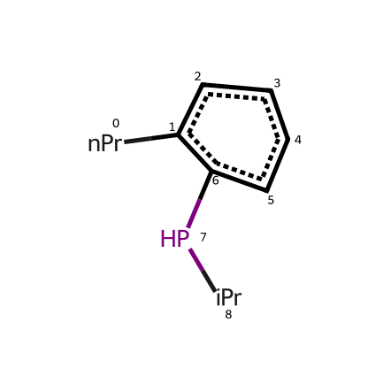 CCCc1ccccc1PC(C)C